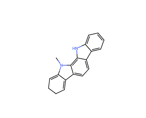 Cn1c2c(c3ccc4c5ccccc5[nH]c4c31)=CCCC=2